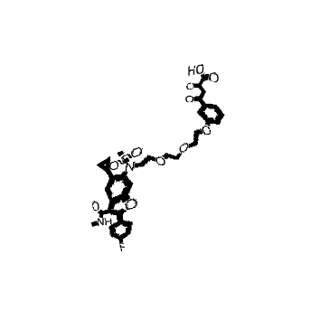 CNC(=O)c1c(-c2ccc(F)cc2)oc2cc(N(CCOCCOCCOc3cccc(C(=O)CC(=O)C(=O)O)c3)S(C)(=O)=O)c(C3CC3)cc12